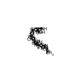 COCCn1ncc(-c2ccc(-c3cnc(C(=O)Nc4ccc(C(=O)N5CCN(C(=O)[C@H]6CC[N@+](CC(=O)O)(CC7CNC7)CC6)CC5)c(Cl)c4)n3C)c(F)c2F)c1C